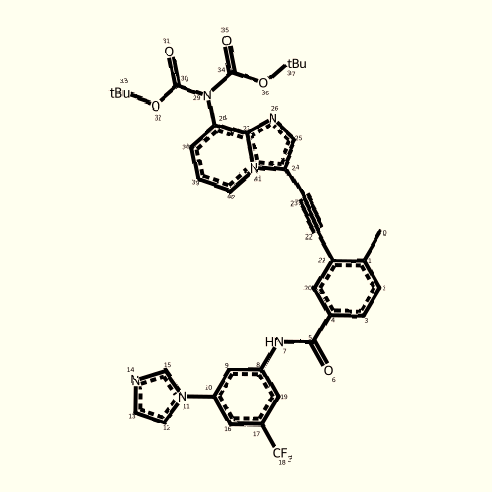 Cc1ccc(C(=O)Nc2cc(-n3ccnc3)cc(C(F)(F)F)c2)cc1C#Cc1cnc2c(N(C(=O)OC(C)(C)C)C(=O)OC(C)(C)C)cccn12